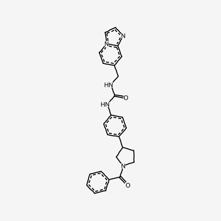 O=C(NCc1ccn2ccnc2c1)Nc1ccc(C2CCN(C(=O)c3ccccc3)C2)cc1